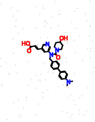 CN(C)c1ccc(-c2ccc(CN(C(=O)N3CCC(O)CC3)c3cncc(C=CC(=O)O)c3)cc2)cc1